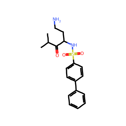 CC(C)C(=O)C(CCN)NS(=O)(=O)c1ccc(-c2ccccc2)cc1